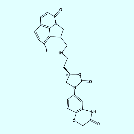 O=C1COc2ccc(N3C[C@@H](CCNCC4Cn5c(=O)ccc6ccc(F)c4c65)OC3=O)cc2N1